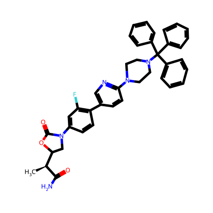 C[C@H](C(N)=O)C1CN(c2ccc(-c3ccc(N4CCN(C(c5ccccc5)(c5ccccc5)c5ccccc5)CC4)nc3)c(F)c2)C(=O)O1